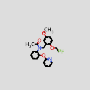 COc1ccc(OCC[18F])c(CN(C(C)=O)c2ccccc2Oc2ccccn2)c1